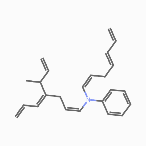 C=C/C=C(/C/C=C\N(/C=C\C/C=C/C=C)c1ccccc1)C(C)C=C